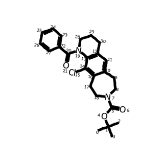 CC(C)(C)OC(=O)N1CCc2cc3c(c(Cl)c2CC1)N(C(=O)c1ccccc1)CCC3